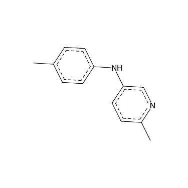 Cc1ccc(Nc2ccc(C)nc2)cc1